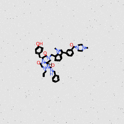 C=CCN1CC(=O)N2[C@@H](Cc3ccc(O)cc3)C(=O)N(Cc3cccc4c(-c5cccc(C(=O)N6CCN(C)CC6)c5)cn(C)c34)C[C@@H]2N1C(=O)NCc1ccccc1